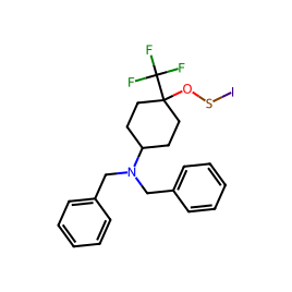 FC(F)(F)C1(OSI)CCC(N(Cc2ccccc2)Cc2ccccc2)CC1